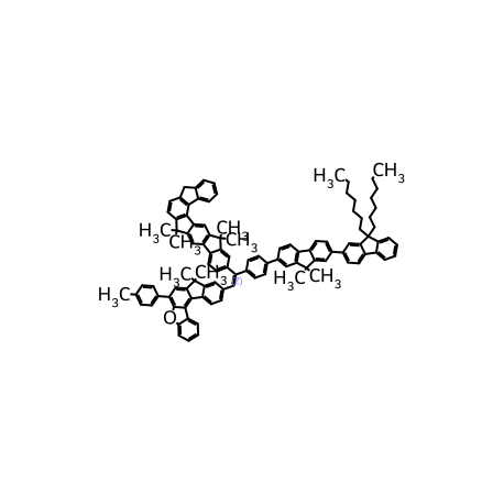 CCCCCCCC1(CCCCCCC)c2ccccc2-c2ccc(-c3ccc4c(c3)C(C)(C)c3cc(-c5ccc(/C(=C/c6ccc7c(c6)C(C)(C)c6cc(-c8ccc(C)cc8)c8oc9ccccc9c8c6-7)c6ccc7c(c6)C(C)(C)c6cc8c(cc6-7)C(C)(C)c6ccc7c(c6-8)-c6ccccc6C7)cc5)ccc3-4)cc21